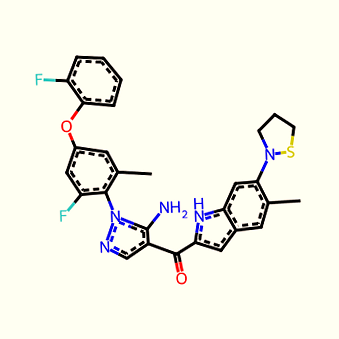 Cc1cc2cc(C(=O)c3cnn(-c4c(C)cc(Oc5ccccc5F)cc4F)c3N)[nH]c2cc1N1CCCS1